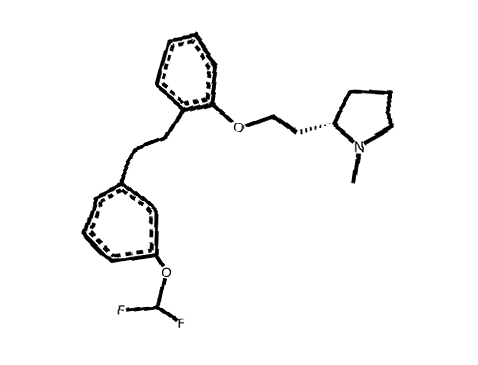 CN1CCC[C@H]1CCOc1ccccc1CCc1cccc(OC(F)F)c1